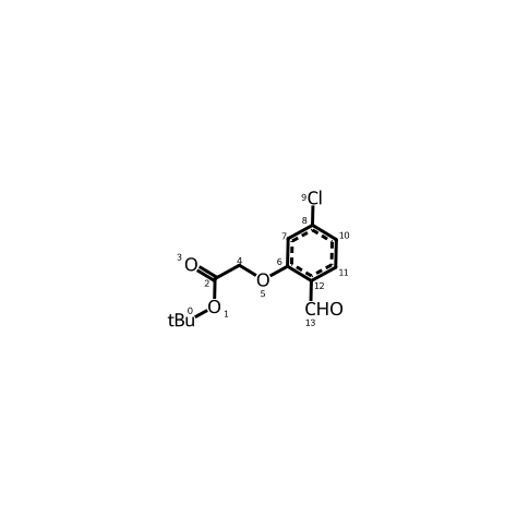 CC(C)(C)OC(=O)COc1cc(Cl)ccc1C=O